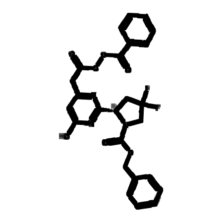 O=C(Cc1cc(O)nc([C@@H]2CC(F)(F)CN2C(=O)OCc2ccccc2)n1)OOC(=O)c1ccccc1